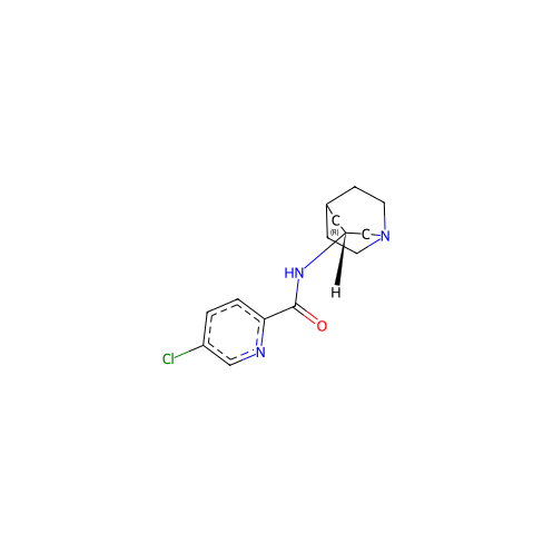 O=C(N[C@@H]1CC2CCN(CC2)C1)c1ccc(Cl)cn1